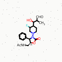 CC(=O)NC[C@@H]1OC(=O)N(N2CCC(C(O)C(C)C=O)C(F)C2)C1c1ccccc1